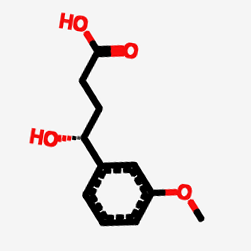 COc1cccc([C@H](O)CCC(=O)O)c1